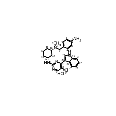 CN(Cc1ccc(N)cc1)[C@H]1CCC[C@@H](Nc2ncc(Cl)c(-c3c[nH]c4ccccc34)n2)C1.Cl